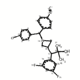 [C-]#[N+]c1ccc(C(c2ccc(Cl)cc2)N2CC(C(c3cc(F)cc(F)c3)C(C)(C)O)C2)cc1